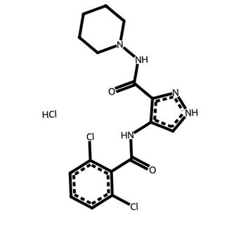 Cl.O=C(NN1CCCCC1)c1n[nH]cc1NC(=O)c1c(Cl)cccc1Cl